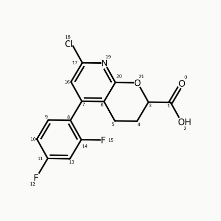 O=C(O)C1CCc2c(-c3ccc(F)cc3F)cc(Cl)nc2O1